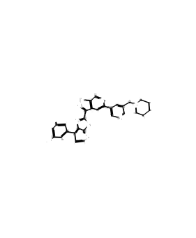 Oc1cc(F)cc(-c2ccnc3[nH]c(-c4n[nH]c5cnc(-c6cncc(CN7CCCCC7)c6)cc45)nc23)c1